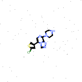 Clc1cc(-c2cnc(N3CCNCC3)c3nncn23)cs1